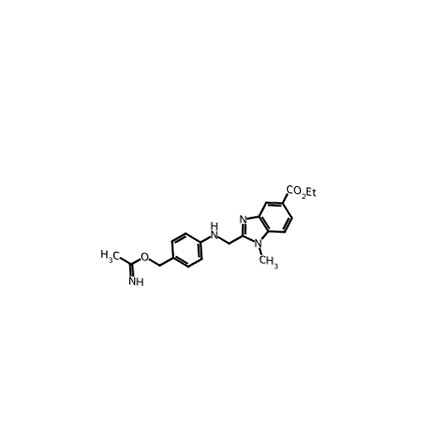 CCOC(=O)c1ccc2c(c1)nc(CNc1ccc(COC(C)=N)cc1)n2C